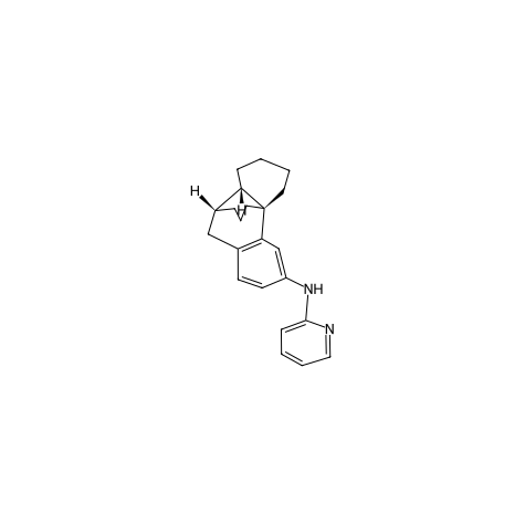 c1ccc(Nc2ccc3c(c2)[C@@]24CCCC[C@H]2[C@H](CCC4)C3)nc1